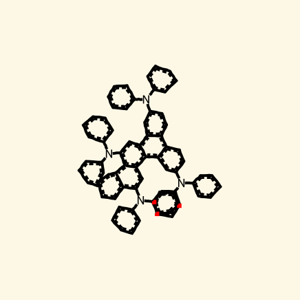 c1ccc(N(c2ccccc2)c2ccc3c4ccc(N(c5ccccc5)c5ccccc5)cc4c4c(cc(N(c5ccccc5)c5ccccc5)c5c6ccccc6c(N(c6ccccc6)c6ccccc6)cc54)c3c2)cc1